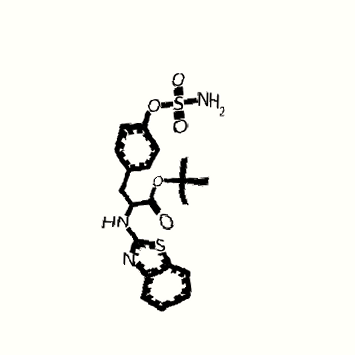 CC(C)(C)OC(=O)C(Cc1ccc(OS(N)(=O)=O)cc1)Nc1nc2ccccc2s1